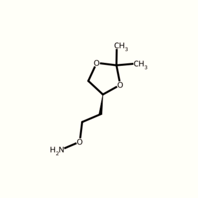 CC1(C)OC[C@H](CCON)O1